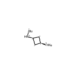 CO[C@H]1C[C@@H](NC(C)(C)C)C1